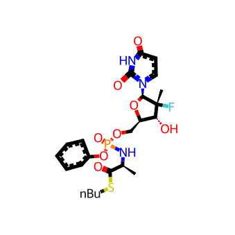 CCCCSC(=O)[C@H](C)NP(=O)(OC[C@H]1O[C@@H](n2ccc(=O)[nH]c2=O)[C@](C)(F)[C@@H]1O)Oc1ccccc1